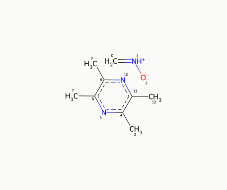 C=[NH+][O-].Cc1nc(C)c(C)nc1C